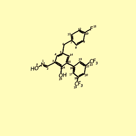 ON=Cc1cc(Cc2ccc(F)cc2)cc(-c2cc(C(F)(F)F)cc(C(F)(F)F)c2)c1O